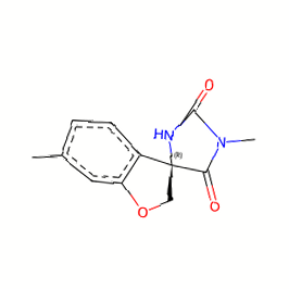 Cc1ccc2c(c1)OC[C@]21NC(=O)N(C)C1=O